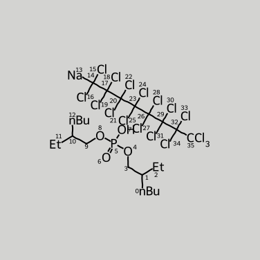 CCCCC(CC)COP(=O)(O)OCC(CC)CCCC.[Na][C](Cl)(Cl)C(Cl)(Cl)C(Cl)(Cl)C(Cl)(Cl)C(Cl)(Cl)C(Cl)(Cl)C(Cl)(Cl)C(Cl)(Cl)Cl